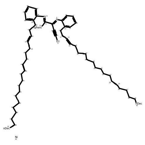 CCC#CC(=Nc1ccccc1CCC=CCCCCCCCCCCCCCCCCCCCCCCCCC)C(CCCCC)=Nc1ccccc1CCC=CCCCCCCCCCCCCCCCCCCCCCCCCC.[Ni]